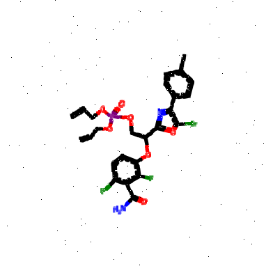 C=CCOP(=O)(OCC=C)OCC(Oc1ccc(F)c(C(N)=O)c1F)c1nc(-c2ccc(C)cc2)c(Br)o1